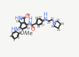 COc1ccccc1Nc1ccc(NC(=O)c2ccc(NCCN3CCCC3)cc2)c2c1CNC2=O